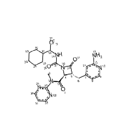 CN(C(=O)[C@@H]1[C@@H](Cc2ccnc(N)c2)C(=O)N1C(=O)NC(C1CCCCC1)C(F)(F)F)c1ncccn1